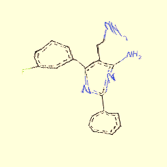 NCc1c(N)nc(-c2ccccc2)nc1-c1cccc(F)c1